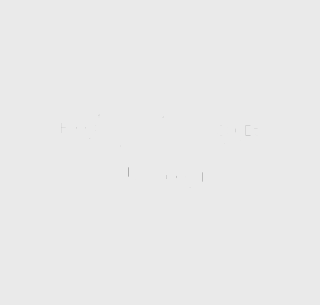 CC(=O)O.CCOC(=O)CCCC(=O)OCC